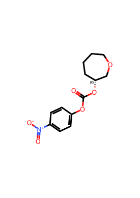 O=C(Oc1ccc([N+](=O)[O-])cc1)O[C@@H]1CCCCOC1